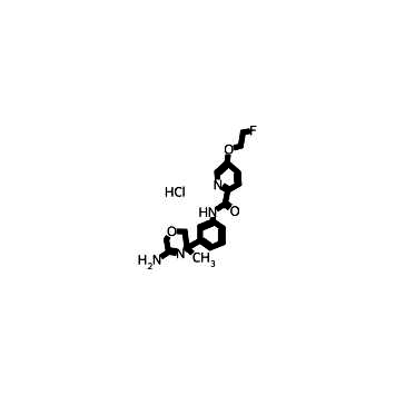 CC1(c2cccc(NC(=O)c3ccc(OCCF)cn3)c2)COCC(N)=N1.Cl